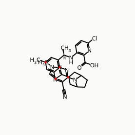 Cc1cc([C@@H](C)Nc2ccc(Cl)nc2C(=O)O)c2nc(N3C4CCC3CC(c3ccn(C)n3)C4)c(C#N)nc2c1